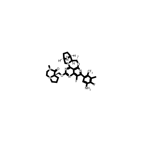 Cc1c(F)c(N)cc(-c2nc3c4c(nc(OC[C@@]56CCCN5CCN(C)C6=O)nc4c2F)N2C[C@H]4CC[C@H](N4)[C@H]2[C@H](C)O3)c1C(F)(F)F